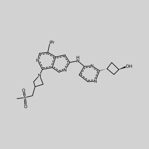 CC(C)c1cnc(N2CC(CS(C)(=O)=O)C2)c2cnc(Nc3ccnc([C@H]4C[C@H](O)C4)n3)cc12